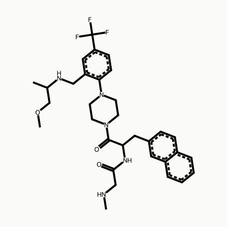 CNCC(=O)NC(Cc1ccc2ccccc2c1)C(=O)N1CCN(c2ccc(C(F)(F)F)cc2CNC(C)COC)CC1